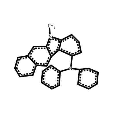 Cn1c2cc3ccccc3cc2c2c(N(c3ccccc3)c3ccccc3)cccc21